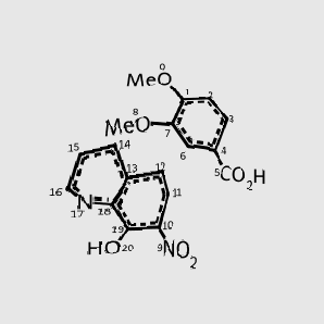 COc1ccc(C(=O)O)cc1OC.O=[N+]([O-])c1ccc2cccnc2c1O